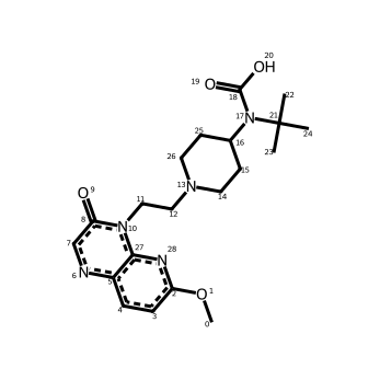 COc1ccc2ncc(=O)n(CCN3CCC(N(C(=O)O)C(C)(C)C)CC3)c2n1